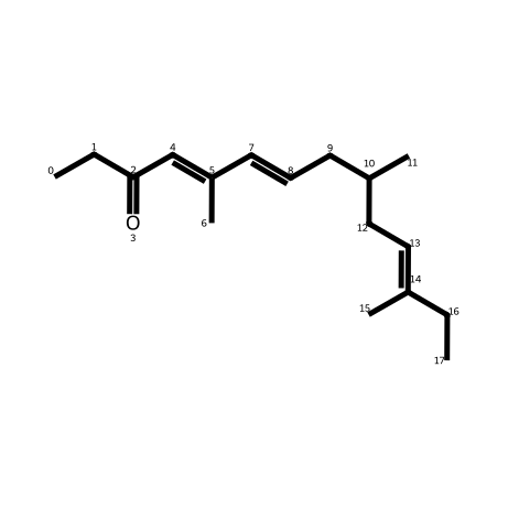 CCC(=O)/C=C(C)/C=C/CC(C)C/C=C(\C)CC